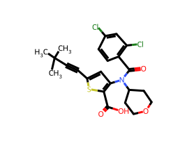 CC(C)(C)C#Cc1cc(N(C(=O)c2ccc(Cl)cc2Cl)C2CCOCC2)c(C(=O)O)s1